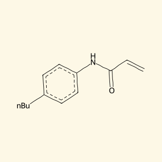 C=CC(=O)Nc1ccc(CCCC)cc1